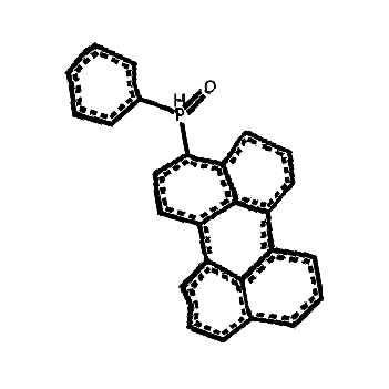 O=[PH](c1ccccc1)c1ccc2c3cccc4cccc(c5cccc1c52)c43